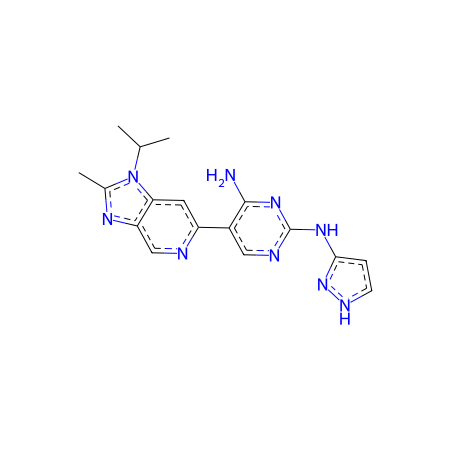 Cc1nc2cnc(-c3cnc(Nc4cc[nH]n4)nc3N)cc2n1C(C)C